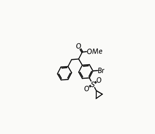 COC(=O)C(Cc1ccccc1)c1ccc(S(=O)(=O)C2CC2)c(Br)c1